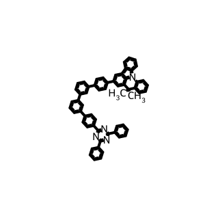 CC1(C)c2ccccc2-n2c3ccccc3c3cc(-c4ccc(-c5cccc(-c6cccc(-c7ccc(-c8nc(-c9ccccc9)nc(-c9ccccc9)n8)cc7)c6)c5)cc4)cc1c32